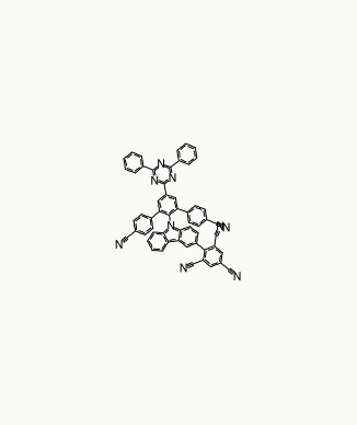 N#Cc1ccc(-c2cc(-c3nc(-c4ccccc4)nc(-c4ccccc4)n3)cc(-c3ccc(C#N)cc3)c2-n2c3ccccc3c3cc(-c4c(C#N)cc(C#N)cc4C#N)ccc32)cc1